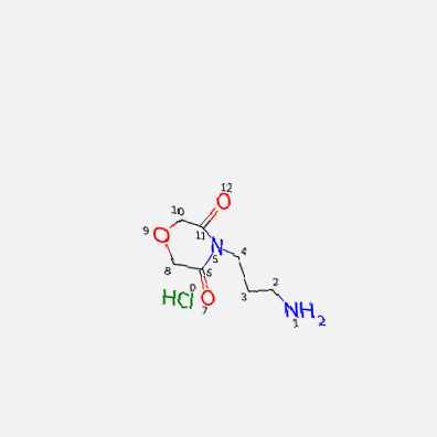 Cl.NCCCN1C(=O)COCC1=O